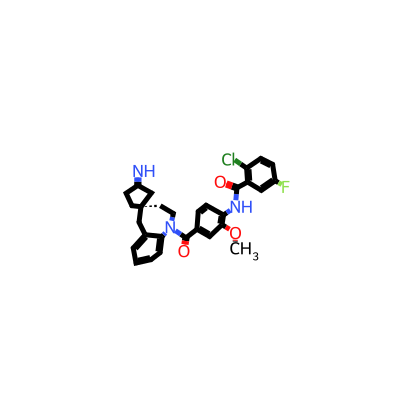 COc1cc(C(=O)N2CC[C@@]3(CCC(=N)C3)Cc3ccccc32)ccc1NC(=O)c1cc(F)ccc1Cl